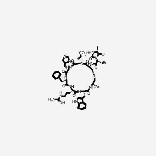 CCCC[C@@H](C(=O)N[C@H]1CSSC[C@@H](C(C)=O)NC(=O)[C@H](Cc2c[nH]c3ccccc23)NC(=O)[C@H](CCCNC(=N)N)NC(=O)[C@@H](Cc2ccccc2)NC(=O)[C@H](CC2CN=CN2)NC(=O)[C@H](CCC(=O)O)NC1=O)N1C(=O)N[C@@H](C)C1=O